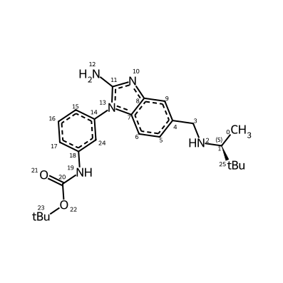 C[C@H](NCc1ccc2c(c1)nc(N)n2-c1cccc(NC(=O)OC(C)(C)C)c1)C(C)(C)C